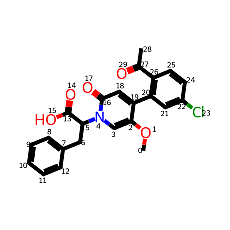 COc1cn(C(Cc2ccccc2)C(=O)O)c(=O)cc1-c1cc(Cl)ccc1C(C)=O